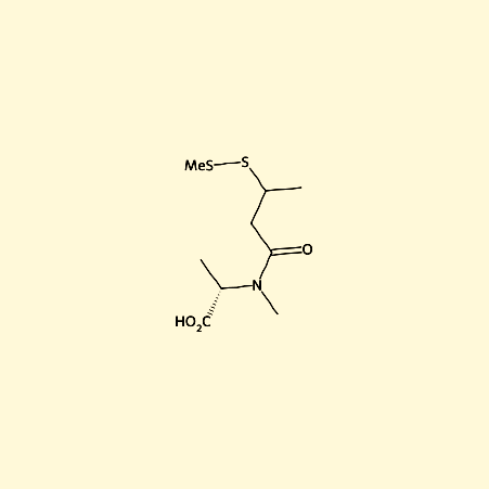 CSSC(C)CC(=O)N(C)[C@@H](C)C(=O)O